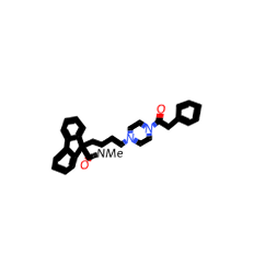 CNC(=O)C1(CCCCN2CCN(C(=O)Cc3ccccc3)CC2)c2ccccc2-c2ccccc21